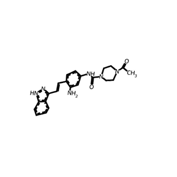 CC(=O)N1CCN(C(=O)Nc2ccc(/C=C/c3n[nH]c4ccccc34)c(N)c2)CC1